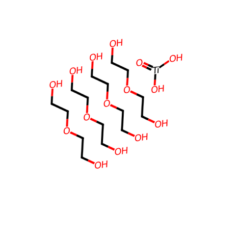 OCCOCCO.OCCOCCO.OCCOCCO.OCCOCCO.[O]=[Ti]([OH])[OH]